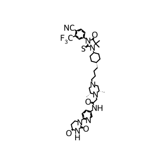 C[C@@H]1CN(CCCC[C@H]2CC[C@H](N3C(=S)N(c4ccc(C#N)c(C(F)(F)F)c4)C(=O)C3(C)C)CC2)C[C@H](C)N1CC(=O)Nc1ccc(N2CCC(=O)NC2=O)nc1